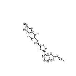 Cc1c(CNC2CCN(c3ncnc4sc(CC(F)(F)F)cc34)C2)ccc2[nH]c(C#N)cc12